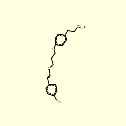 CC(C)(C)c1ccc(/C=N/OCCCOc2ccc(CCC(=O)O)cc2)cc1